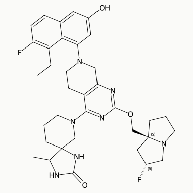 CCc1c(F)ccc2cc(O)cc(N3CCc4c(nc(OC[C@@]56CCCN5C[C@H](F)C6)nc4N4CCCC5(C4)NC(=O)NC5C)C3)c12